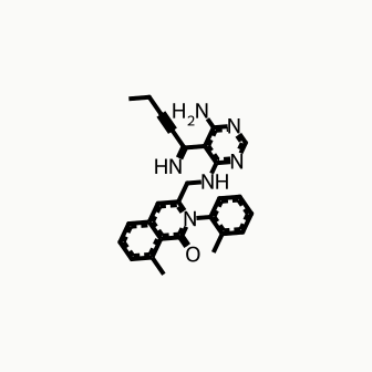 CCC#CC(=N)c1c(N)ncnc1NCc1cc2cccc(C)c2c(=O)n1-c1ccccc1C